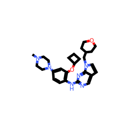 CN1CCN(c2ccc(Nc3ncc4ccn(CC5CCOCC5)c4n3)c(OC3CCC3)c2)CC1